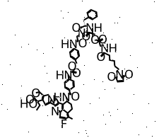 CC[C@@]1(O)C(=O)OCC2=C1C=C1c3nc4cc(F)c(C)c5c4c(c3CN1C2)[C@@H](NC(=O)c1ccc(NC(=O)OCc2ccc(NC(=O)CNC(=O)[C@H](Cc3ccccc3)NC(=O)COC(=O)CNC(=O)CCCCCN3C(=O)C=CC3=O)cc2)cc1)CC5